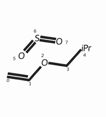 C=COCC(C)C.O=S=O